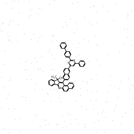 CC1(C)c2ccccc2-c2nc3ccc4ccccc4c3c(-c3ccc4cc(-c5cc(-c6ccccc6)nc(-c6ccc(-c7ccccc7)cc6)n5)ccc4c3)c21